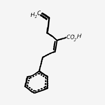 C=CC/C(=C\Cc1ccccc1)C(=O)O